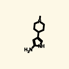 CN1CCC(c2c[nH]c(N)c2)CC1